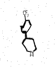 FC(F)(F)c1[c]cc(C2CCNCC2)cc1